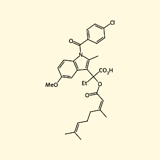 CCC(OC(=O)C=C(C)CCC=C(C)C)(C(=O)O)c1c(C)n(C(=O)c2ccc(Cl)cc2)c2ccc(OC)cc12